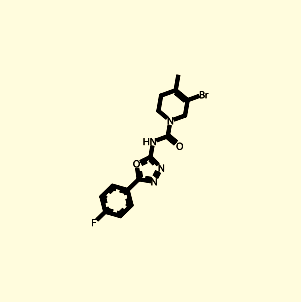 CC1=C(Br)CN(C(=O)Nc2nnc(-c3ccc(F)cc3)o2)CC1